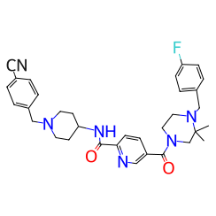 CC1(C)CN(C(=O)c2ccc(C(=O)NC3CCN(Cc4ccc(C#N)cc4)CC3)nc2)CCN1Cc1ccc(F)cc1